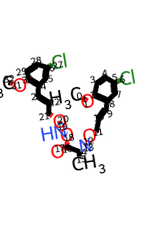 COc1ccc(Cl)cc1/C=C/CON=C(C)C(=O)ONOC/C=C/c1cc(Cl)ccc1OC